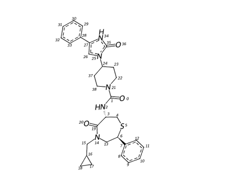 O=C(N[C@@H]1CS[C@@H](c2ccccc2)CN(CC2CC2)C1=O)N1CCC(n2cc(-c3ccccc3)[nH]c2=O)CC1